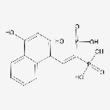 O=P(O)(O)C(=Cc1ccc(O)c2ccccc12)P(=O)(O)O